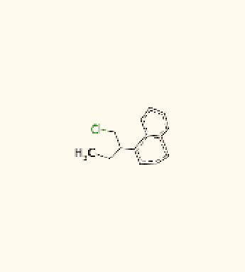 CCC(CCl)c1cccc2ccccc12